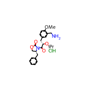 COc1ccc(C[C@H](OC(C)C)C(=O)N2C(=O)OC[C@@H]2Cc2ccccc2)cc1CN.Cl